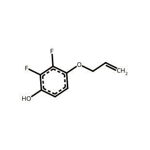 C=CCOc1ccc(O)c(F)c1F